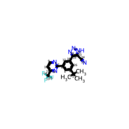 CC(C)(C)c1cc(-c2nccc(C(F)(F)F)n2)cc(-c2nn[nH]c2C#N)c1